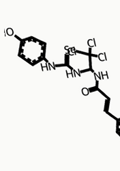 O=C(/C=C/c1ccccc1)NC(NC(=[Se])Nc1ccc(O)cc1)C(Cl)(Cl)Cl